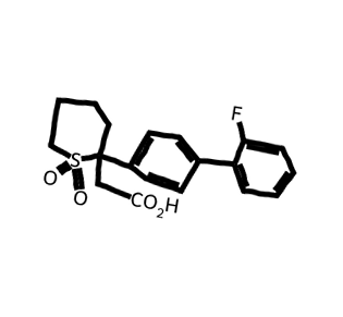 O=C(O)CC1(c2ccc(-c3ccccc3F)cc2)CCCCS1(=O)=O